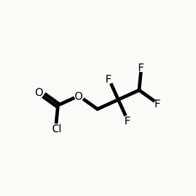 O=C(Cl)OCC(F)(F)C(F)F